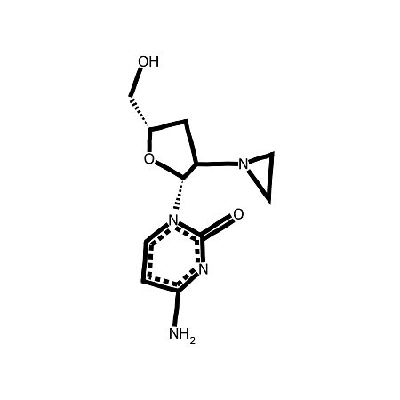 Nc1ccn([C@@H]2O[C@H](CO)CC2N2CC2)c(=O)n1